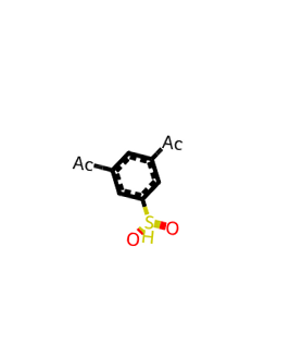 CC(=O)c1cc(C(C)=O)cc([SH](=O)=O)c1